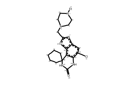 CCN1CCN(Cc2nc3cc(Cl)c4c(c3o2)C2(CCCCC2)NC(=O)N4)CC1